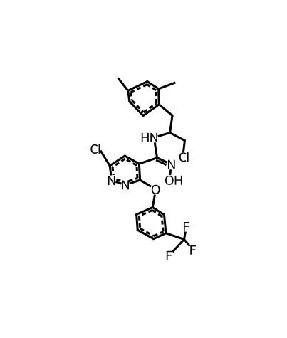 Cc1ccc(CC(CCl)N/C(=N/O)c2cc(Cl)nnc2Oc2cccc(C(F)(F)F)c2)c(C)c1